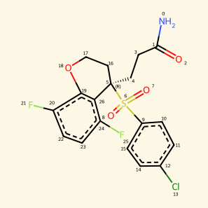 NC(=O)CC[C@@]1(S(=O)(=O)c2ccc(Cl)cc2)CCOc2c(F)ccc(F)c21